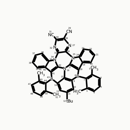 Cc1cccc(C)c1B1c2cc(C(C)(C)C)cc3c2-n2c4c1c1ccccc1n4c1nc(C#N)c(C#N)nc1n1c4ccccc4c(c21)B3c1c(C)cccc1C